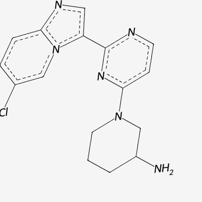 NC1CCCN(c2ccnc(-c3cnc4ccc(Cl)cn34)n2)C1